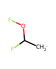 [CH2]C(F)OF